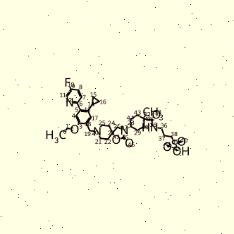 CCOc1cc(-c2ccc(F)cn2)c(C2CC2)cc1CN1CCC2(CC1)CN([C@H]1CC[C@@](C)(C(=O)NCCCS(=O)(=O)O)CC1)C(=O)O2